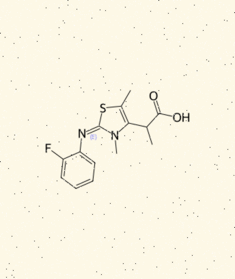 Cc1s/c(=N/c2ccccc2F)n(C)c1C(C)C(=O)O